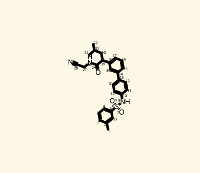 Cc1cccc(S(=O)(=O)Nc2ccc(-c3cccc(C(CC(C)C)C(=O)NCC#N)c3)cc2)c1